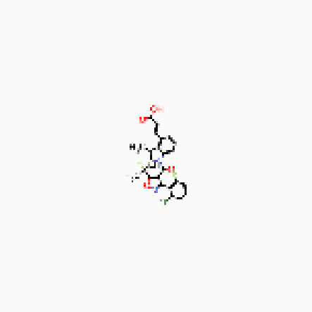 Cc1cn(C(=O)c2c(C3=C(F)C=CCC3Cl)noc2C(C)(C)F)c2cccc(/C=C/C(=O)O)c12